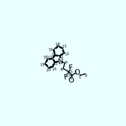 CCOC(=O)C(F)(F)CCn1c2ccccc2c2ccccc21